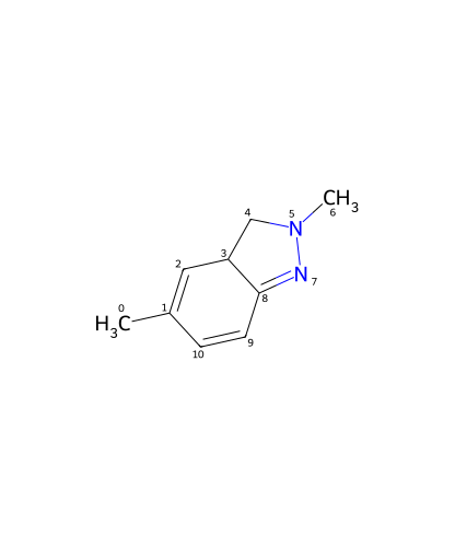 CC1=CC2CN(C)N=C2C=C1